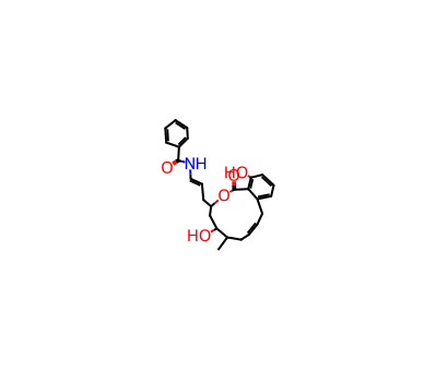 CC1C/C=C/Cc2cccc(O)c2C(=O)OC(C/C=C/NC(=O)c2ccccc2)CC1O